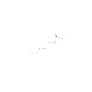 CCCNCCNC(=N)N